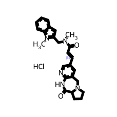 CN(Cc1cc2ccccc2n1C)C(=O)/C=C/c1cnc2c(c1)CN1CCCC1C(=O)N2.Cl